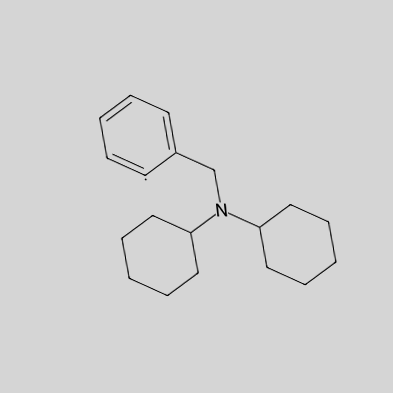 [c]1ccccc1CN(C1CCCCC1)C1CCCCC1